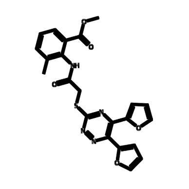 COC(=O)c1cccc(C)c1NC(=O)CSc1nnc(-c2ccco2)c(-c2ccco2)n1